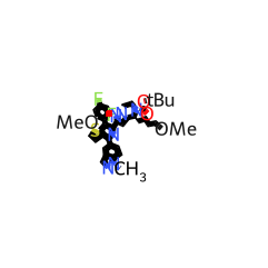 COCCCC[C@H]1c2cc(-c3nc(-c4ccc5c(cnn5C)c4)c4ccsc4c3-c3c(F)cc(F)cc3OC)nn2CCN1C(=O)OC(C)(C)C